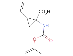 C=CC1CC1(NC(=O)OC(=C)C)C(=O)O